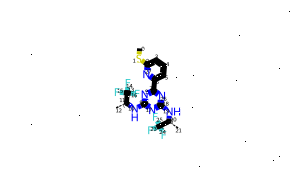 CSc1cccc(-c2nc(N[C@H](C)C(F)(F)F)nc(N[C@H](C)C(F)(F)F)n2)n1